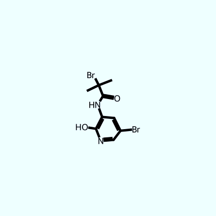 CC(C)(Br)C(=O)Nc1cc(Br)cnc1O